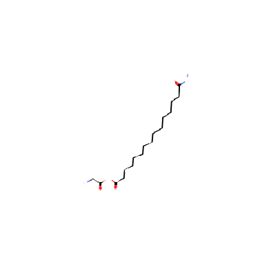 CCNC(=O)CCCCCCCCCCCCCC(=O)OC(=O)CN